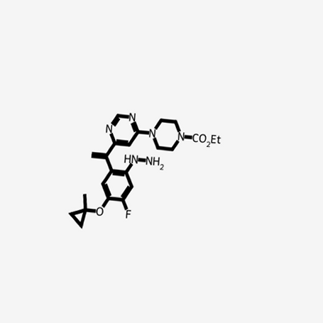 C=C(c1cc(N2CCN(C(=O)OCC)CC2)ncn1)c1cc(OC2(C)CC2)c(F)cc1NN